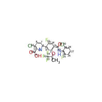 CC(Oc1cc(-c2ccc(Cl)c(C(=O)O)n2)c(F)cc1C(=O)Nc1c(F)cccc1Cl)C(F)(F)F